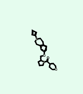 O=C(C1CCOCC1)N1CCCC1COc1ccc2c(c1)CCN(C1=CC=C1)CC2